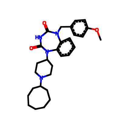 COc1ccc(CN2C(=O)NC(=O)N(C3CCN(C4CCCCCCC4)CC3)c3ccccc32)cc1